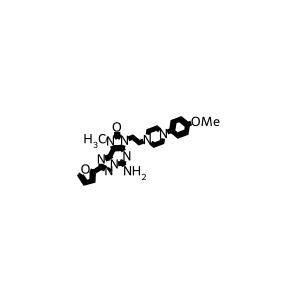 COc1ccc(N2CCN(CCn3c(=O)n(C)c4c3nc(N)n3nc(-c5ccco5)nc43)CC2)cc1